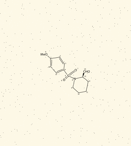 COc1ccc(S(=O)(=O)N2CCCC[C@@H]2C=O)cc1